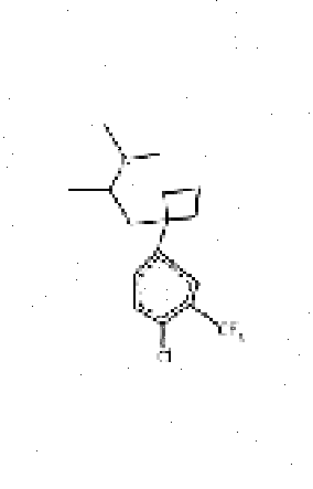 CC(CC1(c2ccc(Cl)c(C(F)(F)F)c2)CCC1)N(C)C